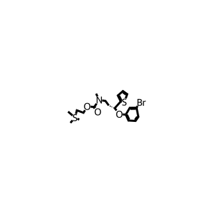 CN(CC[C@@H](Oc1cccc(Br)c1)c1cccs1)C(=O)OCCS(C)(C)C